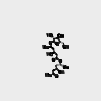 CC[C@@H](C)[C@H](CC(O)CC(=O)C(C)(C)C)OC(=O)C[C@@H](O)C[C@H](OC1O[C@@H](CO)[C@H](O)[C@H]1O)[C@H](C)CC